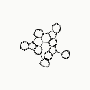 c1ccc(-c2cc3c4c(c2)c2ccccc2n4-c2cccc4c2B3c2c3c5ccccc5n(-c5ccccc5)c3cc3c5ccccc5n-4c23)cc1